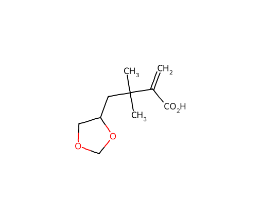 C=C(C(=O)O)C(C)(C)CC1COCO1